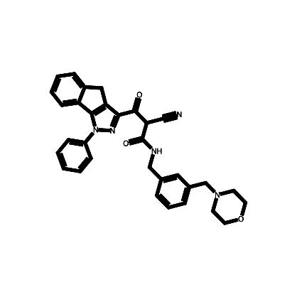 N#CC(C(=O)NCc1cccc(CN2CCOCC2)c1)C(=O)c1nn(-c2ccccc2)c2c1Cc1ccccc1-2